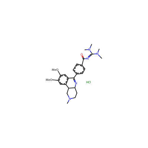 COc1cc2c(cc1OC)C1CN(C)CCC1N=C2c1ccc(C(=O)N=C(N(C)C)N(C)C)cc1.Cl